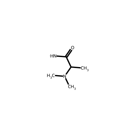 CC(C([NH])=O)N(C)C